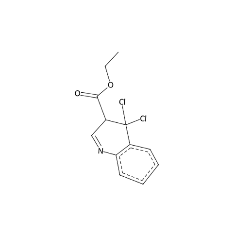 CCOC(=O)C1C=Nc2ccccc2C1(Cl)Cl